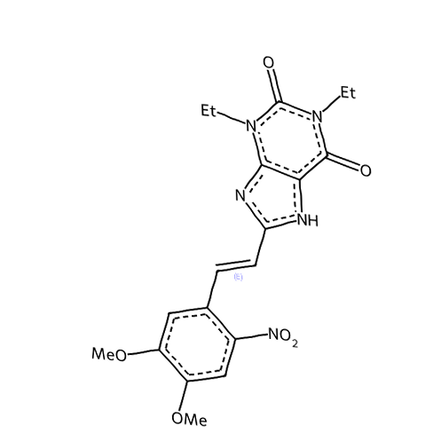 CCn1c(=O)c2[nH]c(/C=C/c3cc(OC)c(OC)cc3[N+](=O)[O-])nc2n(CC)c1=O